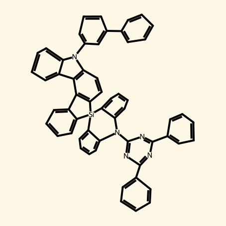 c1ccc(-c2cccc(-n3c4ccccc4c4c5c(ccc43)[Si]3(c4ccccc4-5)c4ccccc4N(c4nc(-c5ccccc5)nc(-c5ccccc5)n4)c4ccccc43)c2)cc1